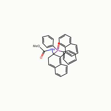 COC(=O)NC1(P(=O)(c2ccccc2)c2ccccc2)CC=c2ccccc2=C1c1cccc2ccccc12